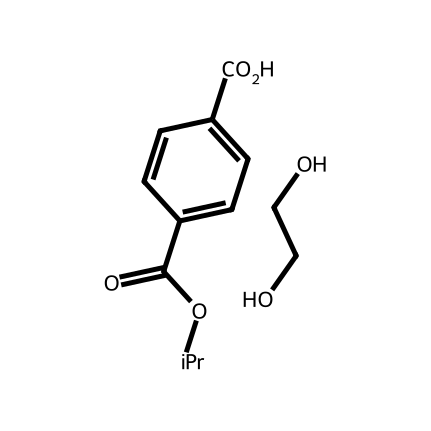 CC(C)OC(=O)c1ccc(C(=O)O)cc1.OCCO